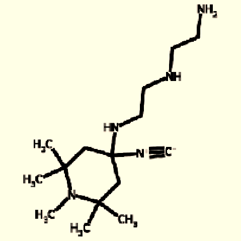 [C-]#[N+]C1(NCCNCCN)CC(C)(C)N(C)C(C)(C)C1